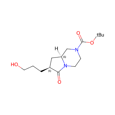 CC(C)(C)OC(=O)N1CCN2C(=O)[C@@H](CCCO)C[C@H]2C1